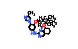 COc1cc(Nc2ncc3c(n2)C(O[Si](C)(C)C(C)(C)C)CCC3)ccc1-n1cnc(C)c1